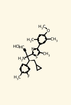 C#CC(N)(c1nc(-c2cc(C)c(OC)cc2C)c(C)s1)[C@@H](CC1CC1)c1ccc(C)c(F)c1.Cl